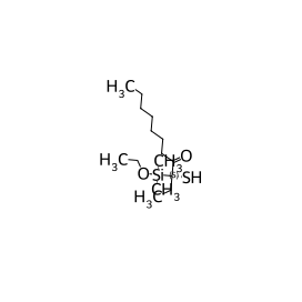 CCCCCCCC(=O)[C@@](S)(CC)[Si](C)(C)OCC